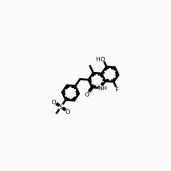 Cc1c(Cc2ccc(S(C)(=O)=O)cc2)c(=O)[nH]c2c(F)ccc(O)c12